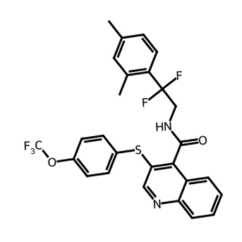 Cc1ccc(C(F)(F)CNC(=O)c2c(Sc3ccc(OC(F)(F)F)cc3)cnc3ccccc23)c(C)c1